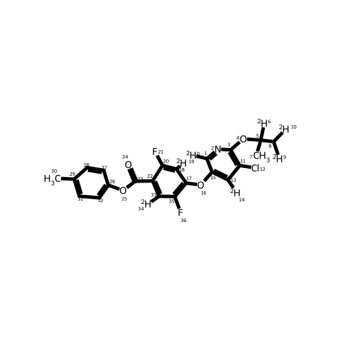 [2H]c1nc(OC([2H])(C)C([2H])[2H])c(Cl)c([2H])c1Oc1c([2H])c(F)c(C(=O)Oc2ccc(C)cc2)c([2H])c1F